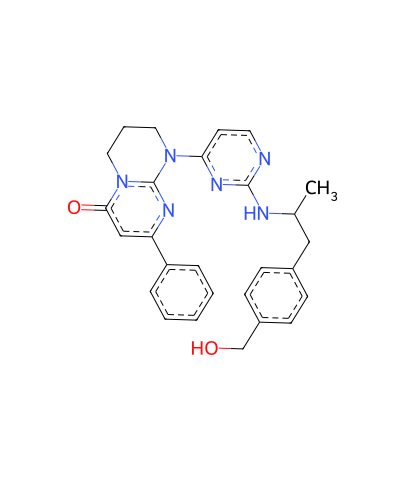 CC(Cc1ccc(CO)cc1)Nc1nccc(N2CCCn3c2nc(-c2ccccc2)cc3=O)n1